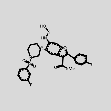 CNC(=O)c1c(-c2ccc(F)cc2)oc2cc(NSO)c([C@H]3CCCN(S(=O)(=O)c4cccc(F)c4)C3)cc12